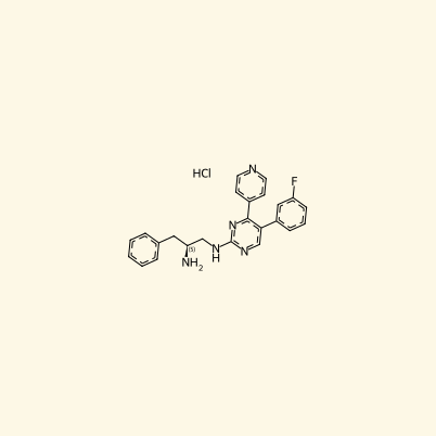 Cl.N[C@H](CNc1ncc(-c2cccc(F)c2)c(-c2ccncc2)n1)Cc1ccccc1